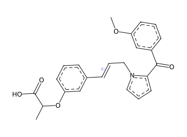 COc1cccc(C(=O)c2cccn2C/C=C/c2cccc(OC(C)C(=O)O)c2)c1